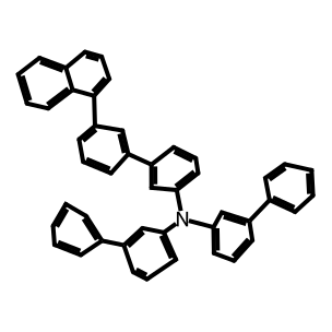 c1ccc(-c2cccc(N(c3cccc(-c4ccccc4)c3)c3cccc(-c4cccc(-c5cccc6ccccc56)c4)c3)c2)cc1